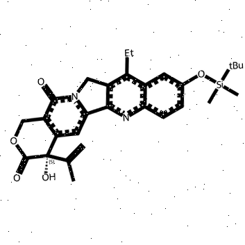 C=C(C)[C@@]1(O)C(=O)OCc2c1cc1n(c2=O)Cc2c-1nc1ccc(O[Si](C)(C)C(C)(C)C)cc1c2CC